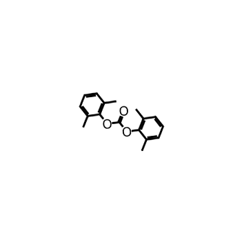 Cc1cccc(C)c1OC(=O)Oc1c(C)cccc1C